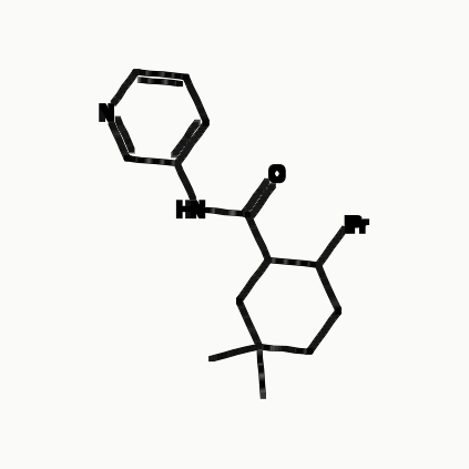 CC(C)C1CCC(C)(C)CC1C(=O)Nc1cccnc1